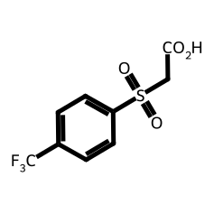 O=C(O)CS(=O)(=O)c1ccc(C(F)(F)F)cc1